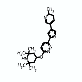 CC1CC=C(c2csc(-c3ccc(OC4CC(C)(C)NC(C)(C)C4)nn3)c2)C=N1